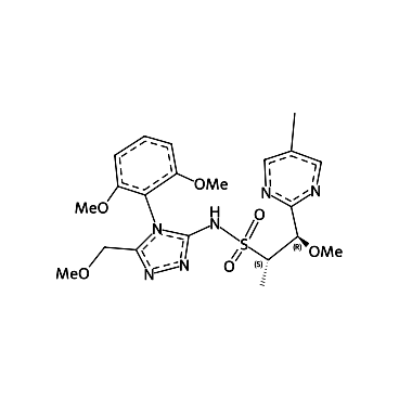 COCc1nnc(NS(=O)(=O)[C@@H](C)[C@H](OC)c2ncc(C)cn2)n1-c1c(OC)cccc1OC